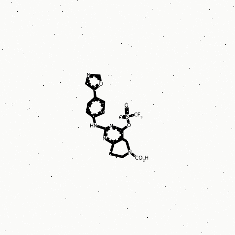 O=C(O)N1CCc2nc(Nc3ccc(-c4cnco4)cc3)nc(OS(=O)(=O)C(F)(F)F)c2C1